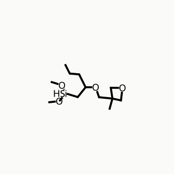 CCCC(C[SiH](OC)OC)OCC1(C)COC1